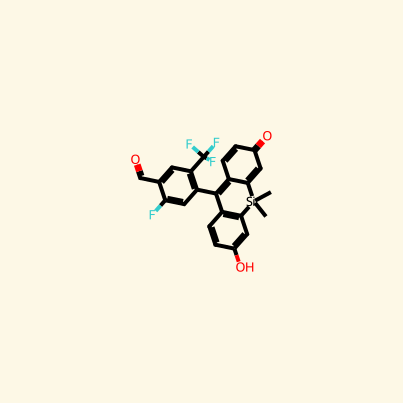 C[Si]1(C)C2=CC(=O)C=CC2=C(c2cc(F)c(C=O)cc2C(F)(F)F)c2ccc(O)cc21